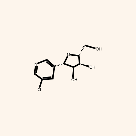 OC[C@H]1O[C@@H](c2cncc(Cl)c2)[C@H](O)[C@@H]1O